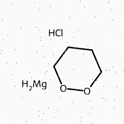 C1CCOOC1.Cl.[MgH2]